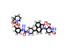 CC1(C)CCCCN1S(=O)(=O)Cc1cccc(NC(=O)N2CCC(c3ccc4c5c(cccc35)C(=O)N4[C@@H]3CCC(=O)NC3=O)CC2)c1